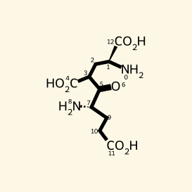 N[C@@H](CC(C(=O)O)C(=O)[C@@H](N)CCC(=O)O)C(=O)O